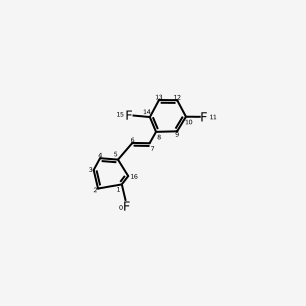 Fc1cccc(C=Cc2cc(F)ccc2F)c1